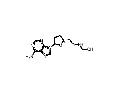 Nc1ncnc2c1ncn2C1CC[C@@H](COPCO)O1